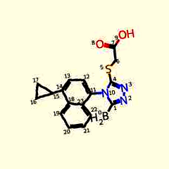 Bc1nnc(SCC(=O)O)n1-c1ccc(C2CC2)c2ccccc12